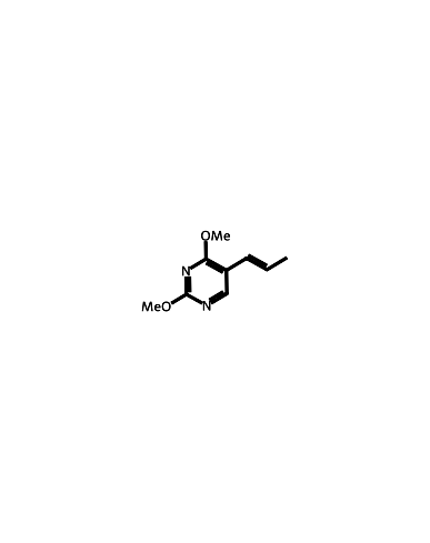 C/C=C/c1cnc(OC)nc1OC